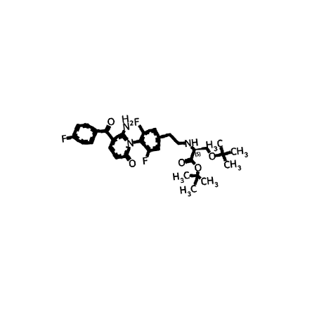 CC(C)(C)OC[C@H](NCCc1cc(F)c(-n2c(N)c(C(=O)c3ccc(F)cc3)ccc2=O)c(F)c1)C(=O)OC(C)(C)C